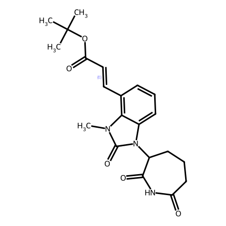 Cn1c(=O)n(C2CCCC(=O)NC2=O)c2cccc(/C=C/C(=O)OC(C)(C)C)c21